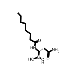 CCCCCCCC(=O)N[C@H](CC(N)=O)B(O)O